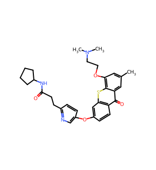 Cc1cc(OCCN(C)C)c2sc3cc(Oc4ccc(CCC(=O)NC5CCCC5)nc4)ccc3c(=O)c2c1